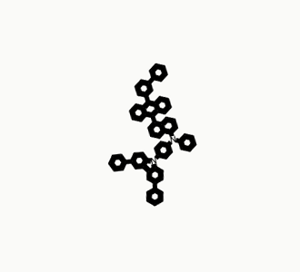 c1ccc(-c2cccc(-c3c4ccccc4c(-c4cccc5c(N(c6ccccc6)c6ccc(-n7c8ccc(-c9ccccc9)cc8c8cc(-c9ccccc9)ccc87)cc6)cccc45)c4ccccc34)c2)cc1